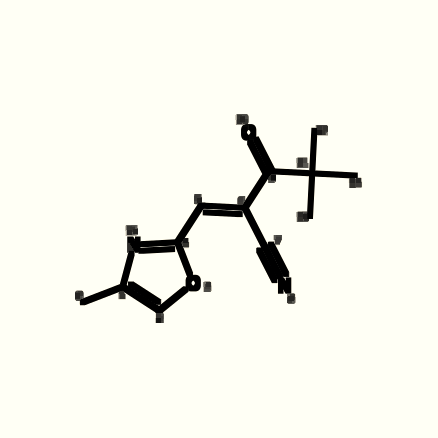 Cc1coc(/C=C(\C#N)C(=O)C(C)(C)C)n1